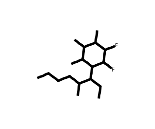 CCCCC(C)C(CC)C1C(C)C(C)C(C)C(F)C1F